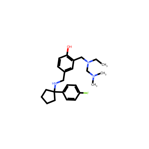 CCN(Cc1cc(CNC2(c3ccc(F)cc3)CCCC2)ccc1O)CN(C)C